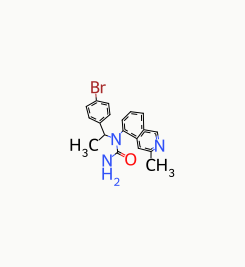 Cc1cc2c(N(C(N)=O)C(C)c3ccc(Br)cc3)cccc2cn1